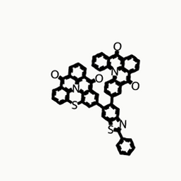 O=c1c2ccccc2n2c3ccc(-c4cc5nc(-c6ccccc6)sc5cc4-c4cc5c6c(c4)c(=O)c4cccc7c(=O)c8cccc(c8n6c74)S5)cc3c(=O)c3cccc1c32